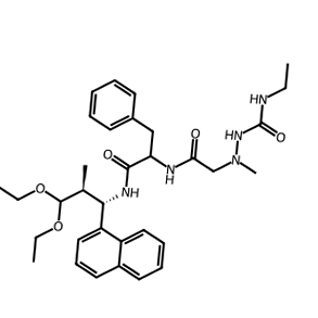 CCNC(=O)NN(C)CC(=O)NC(Cc1ccccc1)C(=O)N[C@H](c1cccc2ccccc12)[C@H](C)C(OCC)OCC